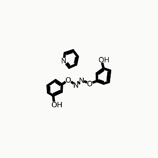 Oc1cccc(ON=NOc2cccc(O)c2)c1.c1ccncc1